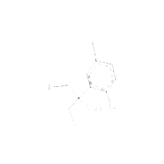 Cc1ccc(Br)c(C(O)(CF)CF)c1